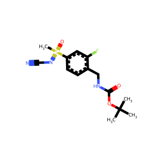 CC(C)(C)OC(=O)NCc1ccc(S(C)(=O)=NC#N)cc1F